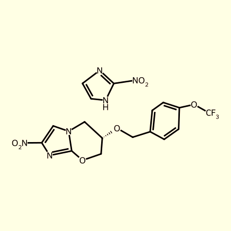 O=[N+]([O-])c1cn2c(n1)OC[C@@H](OCc1ccc(OC(F)(F)F)cc1)C2.O=[N+]([O-])c1ncc[nH]1